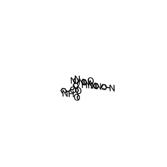 COCCOc1cc2c(N3CCN(C(=O)NN4CCN(c5ccc(C#N)cc5)CC4)CC3)ncnc2cc1OCCC1CCCCN1